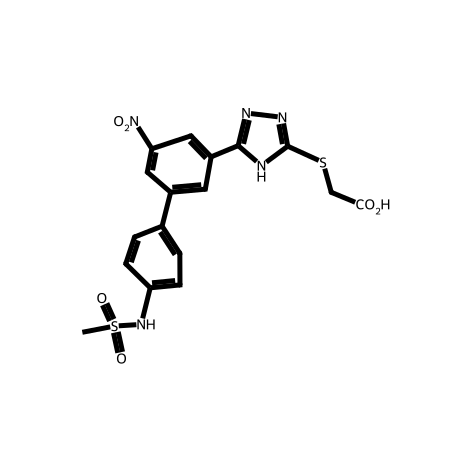 CS(=O)(=O)Nc1ccc(-c2cc(-c3nnc(SCC(=O)O)[nH]3)cc([N+](=O)[O-])c2)cc1